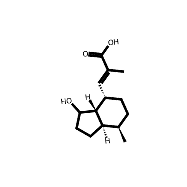 C/C(=C\[C@@H]1CC[C@@H](C)[C@H]2CCC(O)[C@@H]21)C(=O)O